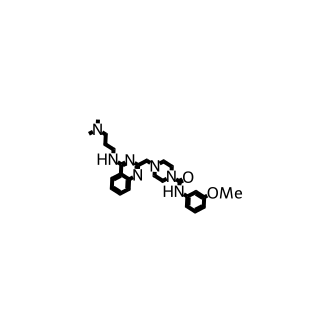 COc1cccc(NC(=O)N2CCN(Cc3nc(NCCCN(C)C)c4ccccc4n3)CC2)c1